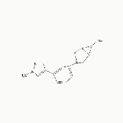 Cn1cc(-c2cccc(N3CC4C(C3)C4C(C)(C)C)c2)cn1